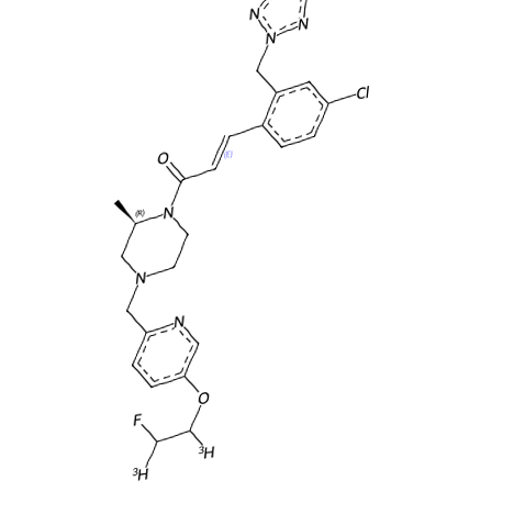 [3H]C(F)C([3H])Oc1ccc(CN2CCN(C(=O)/C=C/c3ccc(Cl)cc3Cn3nnc(C)n3)[C@H](C)C2)nc1